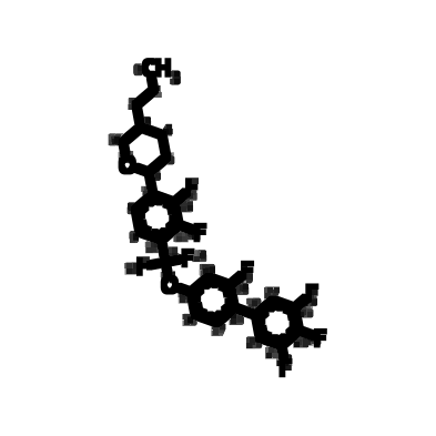 CCCC1CCC(c2ccc(C(F)(F)Oc3ccc(-c4cc(F)c(F)c(F)c4)c(F)c3)c(F)c2F)OC1